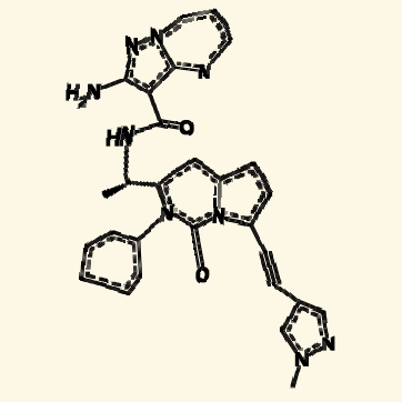 C[C@@H](NC(=O)c1c(N)nn2cccnc12)c1cc2ccc(C#Cc3cnn(C)c3)n2c(=O)n1-c1ccccc1